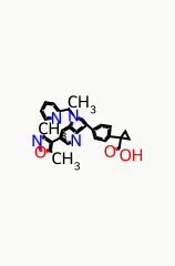 Cc1noc(C)c1-c1cnc2c(-c3ccc(C4(C(=O)O)CC4)cc3)cn([C@@H](C)c3ccccn3)c2c1